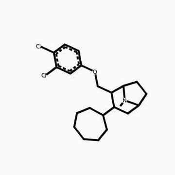 CN1C2CCC1C(COc1ccc(Cl)c(Cl)c1)C(C1CCCCCC1)C2